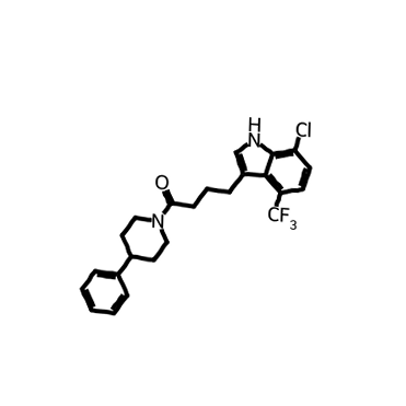 O=C(CCCc1c[nH]c2c(Cl)ccc(C(F)(F)F)c12)N1CCC(c2ccccc2)CC1